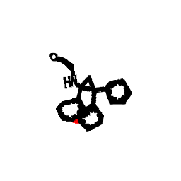 O=C=CNC1(c2ccccc2)CC1(c1ccccc1)c1ccccc1